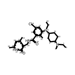 CCN(C)C1CCC(N(CC)c2cc(Cl)cc(C(=O)NCc3c(C)cc(C)[nH]c3=O)c2C)CC1